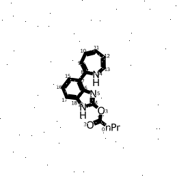 CCCC(=O)Oc1nc2c(C3=CC=CC=CN3)cccc2[nH]1